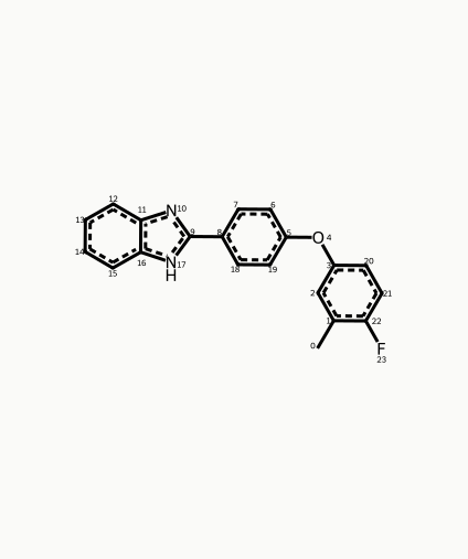 Cc1cc(Oc2ccc(-c3nc4ccccc4[nH]3)cc2)ccc1F